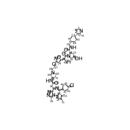 Cc1ncsc1-c1ccc(CNC(=O)[C@@H]2C[C@@H](O)CN2C(=O)[C@H](c2cc(OCCN3CC[C@H](NC(=O)C[C@@H]4N=C(c5ccc(Cl)cc5)c5c(sc(C)c5C)-n5c(C)nnc54)C3)no2)C(C)C)cc1